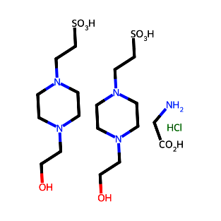 Cl.NCC(=O)O.O=S(=O)(O)CCN1CCN(CCO)CC1.O=S(=O)(O)CCN1CCN(CCO)CC1